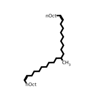 CCCCCCCC/C=C\CCCCCCCC[C](C)CCCCCCCC/C=C\CCCCCCCC